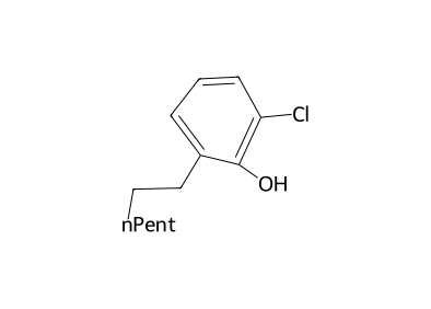 CCCCCCCc1cccc(Cl)c1O